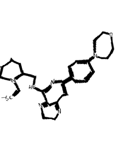 C=CN1CCCCC1CNc1nc(-c2ccc(N3CCOCC3)cc2)cc2c1=NCCN=2